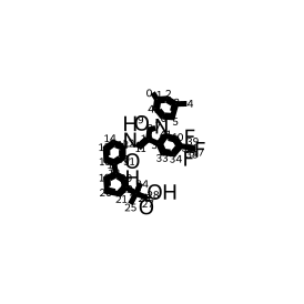 Cc1cc(C)cc(N2C(=O)C(=CNc3cccc(-c4cccc(C(C)(C)C(=O)O)c4)c3O)c3ccc(C(F)(F)F)cc32)c1